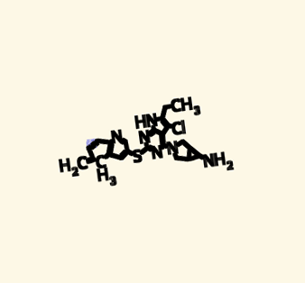 C=C/C=C\c1ncc(Sc2nc(N3CC4C(N)C4C3)c3c(Cl)c(CC)[nH]c3n2)cc1C